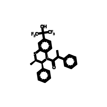 CC(C(=O)N1c2ccc(C(O)(C(F)(F)F)C(F)(F)F)cc2S[C@H](C)[C@@H]1c1ccccc1)c1ccccc1